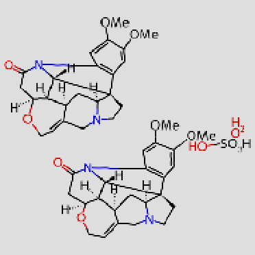 COc1cc2c(cc1OC)[C@@]13CCN4CC5=CCO[C@H]6CC(=O)N2[C@H]1[C@H]6[C@H]5C[C@H]43.COc1cc2c(cc1OC)[C@@]13CCN4CC5=CCO[C@H]6CC(=O)N2[C@H]1[C@H]6[C@H]5C[C@H]43.O.O=S(=O)(O)O